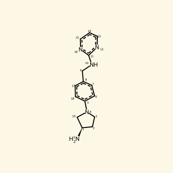 N[C@@H]1CCN(c2ccc(CNc3ncccn3)cc2)C1